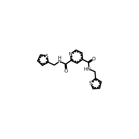 O=C(NCc1cccs1)c1ccnc(C(=O)NCc2cccs2)c1